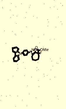 COC(=O)C1(F)CCCCCc2c1nnn2-c1ccc(-n2c3ccccc3c3ccccc32)cc1